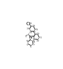 CCn1c2ccccc2c2cccc(-c3ccc(Cl)cc3)c21